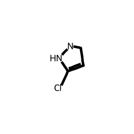 ClC1=CC[N]N1